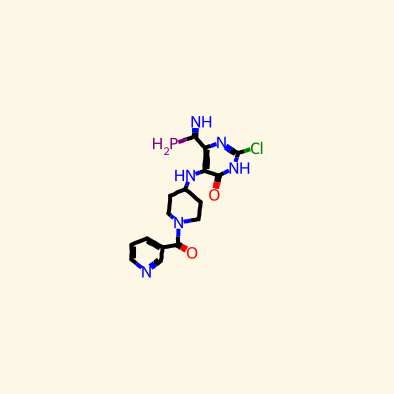 N=C(P)c1nc(Cl)[nH]c(=O)c1NC1CCN(C(=O)c2cccnc2)CC1